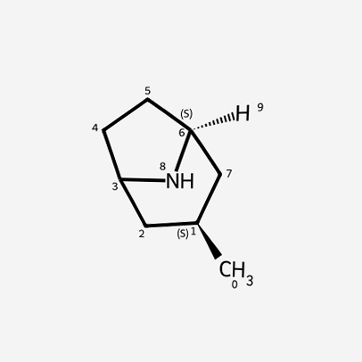 C[C@H]1CC2CC[C@@H](C1)N2